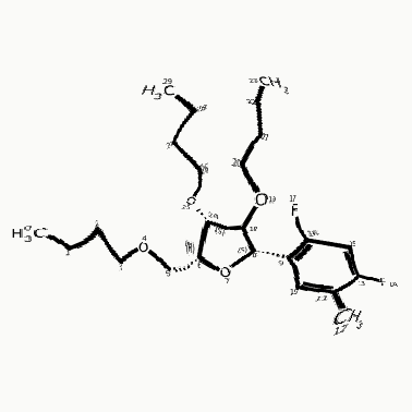 CCCCOC[C@H]1O[C@@H](c2cc(C)c(F)cc2F)C(OCCCC)[C@H]1OCCCC